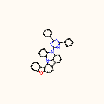 c1ccc(-c2nc(-c3ccccc3)nc(N3c4ccccc4-n4c5c3cccc5c3ccc5oc6ccccc6c5c34)n2)cc1